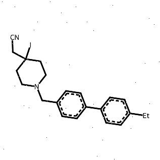 CCc1ccc(-c2ccc(CN3CCC(I)(CC#N)CC3)cc2)cc1